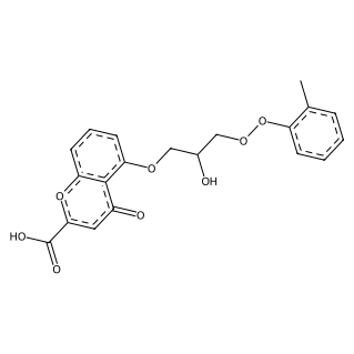 Cc1ccccc1OOCC(O)COc1cccc2oc(C(=O)O)cc(=O)c12